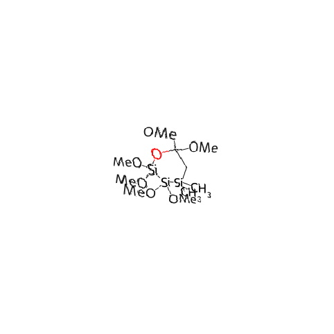 COC1(OC)C[Si](C)(C)[Si](OC)(OC)[Si](OC)(OC)O1